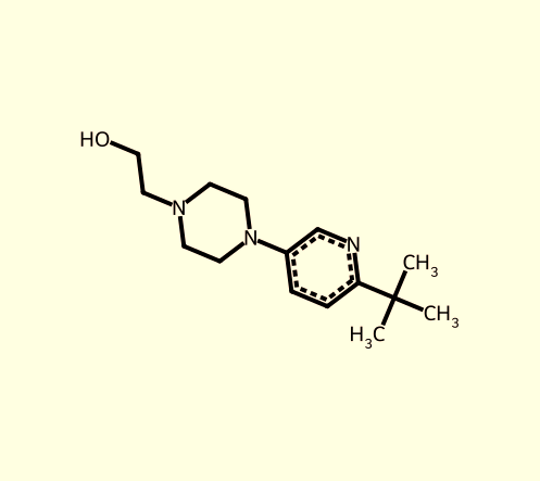 CC(C)(C)c1ccc(N2CCN(CCO)CC2)cn1